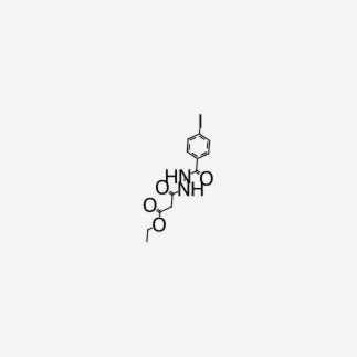 CCOC(=O)CC(=O)NNC(=O)c1ccc(I)cc1